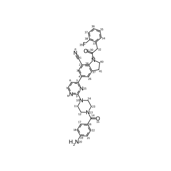 N#Cc1cc(-c2ccnc(N3CCN(C(=O)c4ccc(N)cc4)CC3)n2)cc2c1N(C(=O)Cc1ccccc1F)CC2